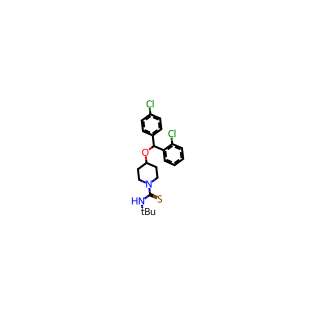 CC(C)(C)NC(=S)N1CCC(OC(c2ccc(Cl)cc2)c2ccccc2Cl)CC1